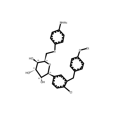 CCOc1ccc(Cc2cc([C@@H]3O[C@H](CSc4ccc(NC(C)=O)cc4)[C@H](O)[C@@H](O)[C@H]3O)ccc2Cl)cc1